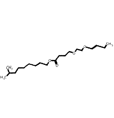 CCCCOCCOCCCC(=O)OCCCCCCCC(C)C